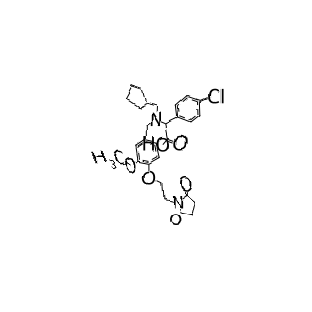 COc1cc(CN(CC2CCCC2)C(C(=O)O)c2ccc(Cl)cc2)ccc1OCCN1C(=O)CCC1=O